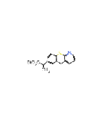 CCOC(=O)C(C)c1ccc2c(c1)Cc1cccnc1S2